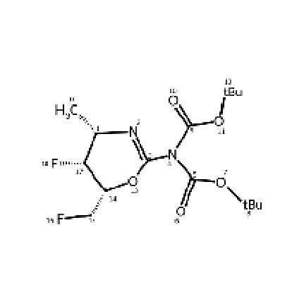 C[C@@H]1N=C(N(C(=O)OC(C)(C)C)C(=O)OC(C)(C)C)O[C@H](CF)[C@@H]1F